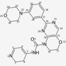 O=C(NC1=CC=NCC1)N1CCOc2cnc(-c3cccc(N4CCOCC4)c3)nc21